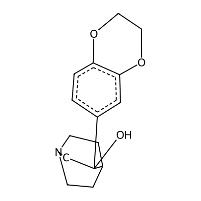 OC1(c2ccc3c(c2)OCCO3)CN2CCC1CC2